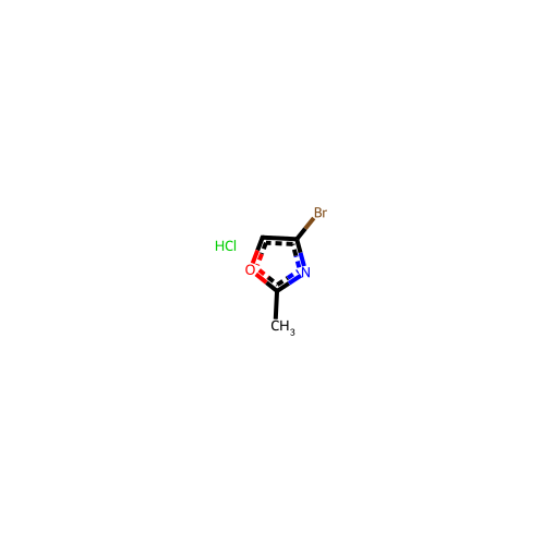 Cc1nc(Br)co1.Cl